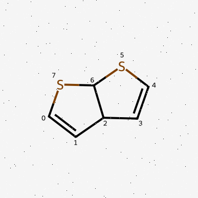 C1=CC2C=CSC2S1